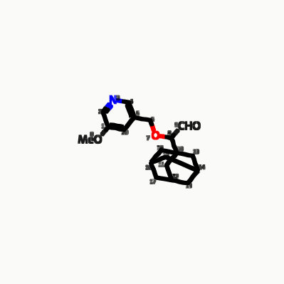 COc1cncc(COC(C=O)C23CC4CC(CC(C4)C2)C3)c1